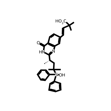 C[C@@H](CC(C)(C)[Si](O)(c1ccccc1)c1ccccc1)c1nc2cc(/C=C/C(C)(C)C(=O)O)ccc2c(=O)[nH]1